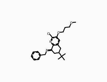 COCCCOc1cc2c(nc1Cl)C(=NCc1ccccc1)CC(C(C)(C)C)C2